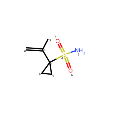 C=C(C)C1(S(N)(=O)=O)CC1